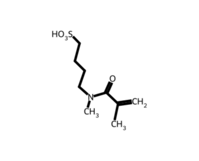 C=C(C)C(=O)N(C)CCCCS(=O)(=O)O